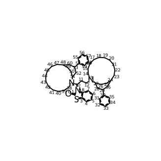 O=c1sc2ccccc2n1C(CCN1CCCCCCCCCCC2CCC1CC(c1ccccc1)C2)N1CCCCCCCCCCC2CCC1CC(c1ccccc1)C2